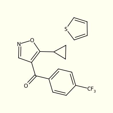 O=C(c1ccc(C(F)(F)F)cc1)c1cnoc1C1CC1.c1ccsc1